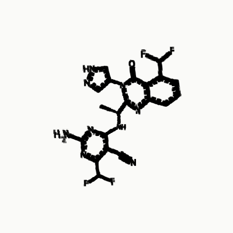 C[C@H](Nc1nc(N)nc(C(F)F)c1C#N)c1nc2cccc(C(F)F)c2c(=O)n1-c1cn[nH]c1